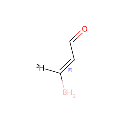 [2H]/C(B)=C\C=O